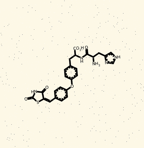 NC(Cc1c[nH]cn1)C(=O)NC(Cc1ccc(Oc2ccc(C=C3SC(=O)NC3=O)cc2)cc1)C(=O)O